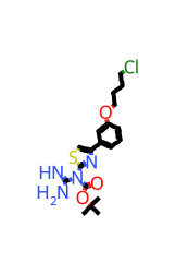 CC(C)(C)OC(=O)N(C(=N)N)c1nc(-c2cccc(OCCCCCl)c2)cs1